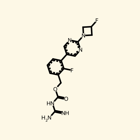 N=C(N)NC(=O)OCc1cccc(-c2cnc(N3CC(F)C3)nc2)c1F